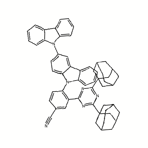 N#Cc1ccc(-n2c3ccccc3c3cc(-n4c5ccccc5c5ccccc54)ccc32)c(-c2nc(C34CC5CC(CC(C5)C3)C4)nc(C34CC5CC(CC(C5)C3)C4)n2)c1